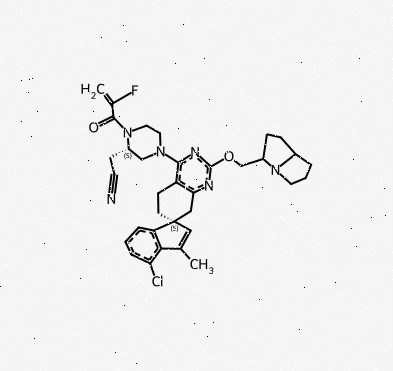 C=C(F)C(=O)N1CCN(c2nc(OCC3CCC4CCCN43)nc3c2CC[C@@]2(C=C(C)c4c(Cl)cccc42)C3)C[C@@H]1CC#N